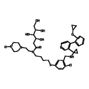 O=C(CC(O)C(O)C(O)CO)N(CCCCSc1ccc(Cl)c(CNC2(c3cnccc3-c3ccccc3OC3CC3)CC2)c1)CCN1CC[S+]([O-])CC1